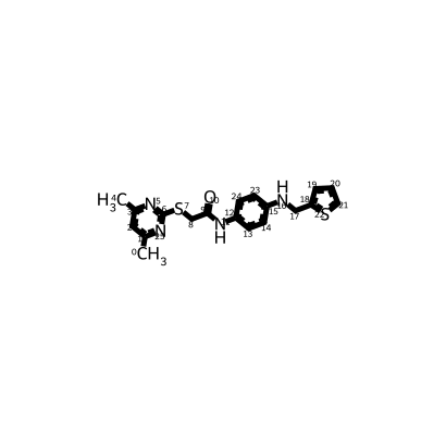 Cc1cc(C)nc(SCC(=O)Nc2ccc(NCc3cccs3)cc2)n1